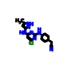 Cc1cc(Nc2cc(Cl)nc(N[C@H]3CC[C@H](CC#N)CC3)n2)n[nH]1